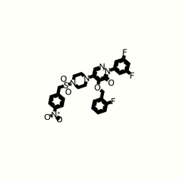 O=c1c(OCc2ccccc2F)c(N2CCN(S(=O)(=O)Cc3ccc([N+](=O)[O-])cc3)CC2)cnn1-c1cc(F)cc(F)c1